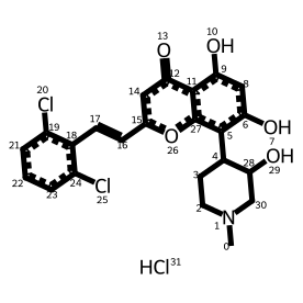 CN1CCC(c2c(O)cc(O)c3c(=O)cc(C=Cc4c(Cl)cccc4Cl)oc23)C(O)C1.Cl